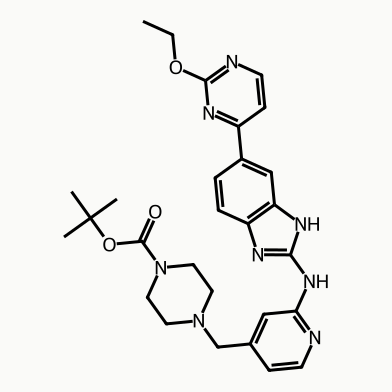 CCOc1nccc(-c2ccc3nc(Nc4cc(CN5CCN(C(=O)OC(C)(C)C)CC5)ccn4)[nH]c3c2)n1